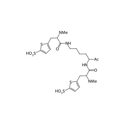 CNC(Cc1ccc(S(=O)(=O)O)s1)C(=O)NCCCCC(NC(=O)C(Cc1ccc(S(=O)(=O)O)s1)NC)C(C)=O